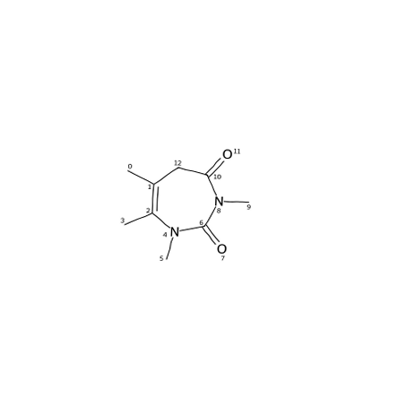 CC1=C(C)N(C)C(=O)N(C)C(=O)C1